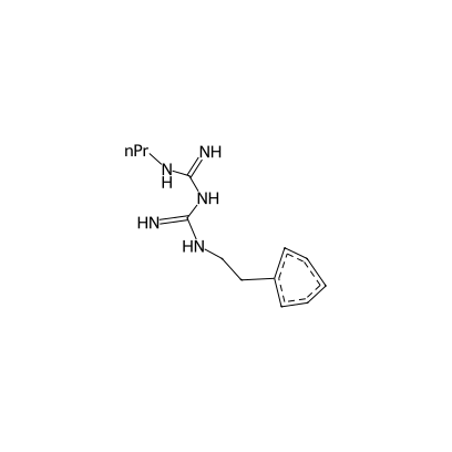 CCCNC(=N)NC(=N)NCCc1ccccc1